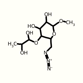 COC1OC(CN=[N+]=[N-])C(OC(O)C(C)O)C(O)C1O